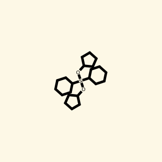 C1CCC([Si](OC2CCCC2)(OC2CCCC2)C2CCCCC2)CC1